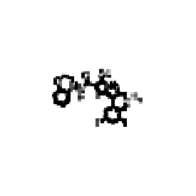 CC(=O)c1c(C(=O)NN2CCOc3ccccc32)sc2c(-c3cc(F)cc(F)c3F)c(C)nn12